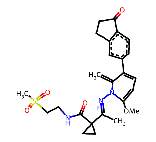 C=C1C(c2ccc3c(c2)CCC3=O)=CC=C(OC)N1/N=C(\C)C1(C(=O)NCCS(C)(=O)=O)CC1